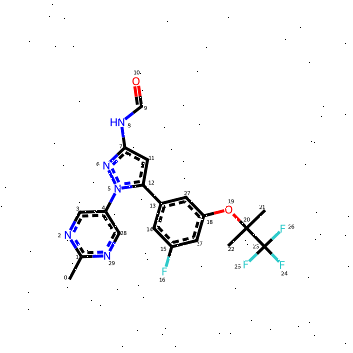 Cc1ncc(-n2nc(NC=O)cc2-c2cc(F)cc(OC(C)(C)C(F)(F)F)c2)cn1